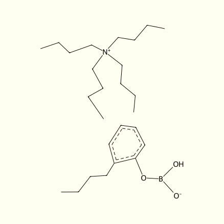 CCCC[N+](CCCC)(CCCC)CCCC.CCCCc1ccccc1OB([O-])O